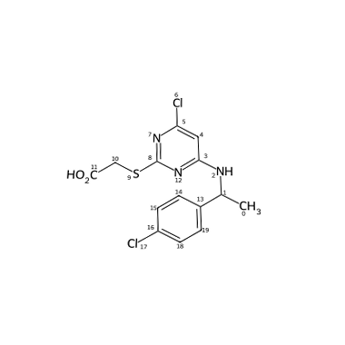 CC(Nc1cc(Cl)nc(SCC(=O)O)n1)c1ccc(Cl)cc1